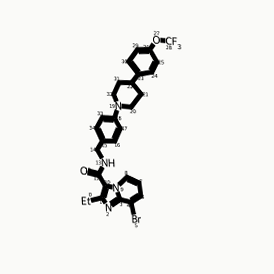 CCc1nc2c(Br)cccn2c1C(=O)NCc1ccc(N2CCC(c3ccc(OC(F)(F)F)cc3)CC2)cc1